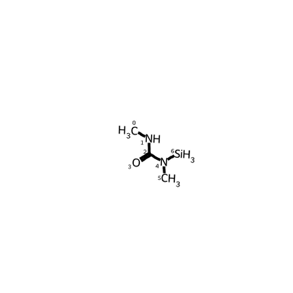 CNC(=O)N(C)[SiH3]